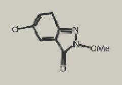 CON1N=C2CC=C(Cl)C=C2C1=O